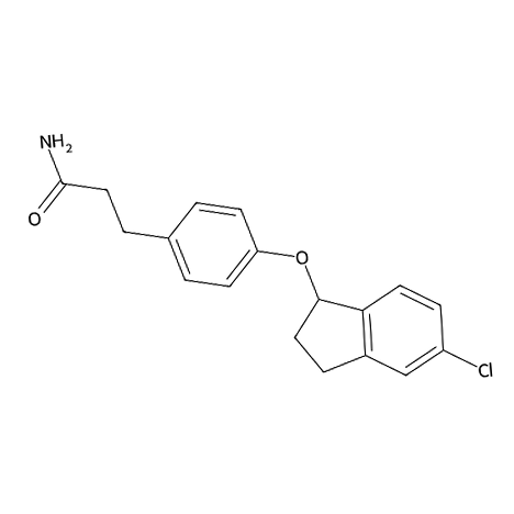 NC(=O)CCc1ccc(OC2CCc3cc(Cl)ccc32)cc1